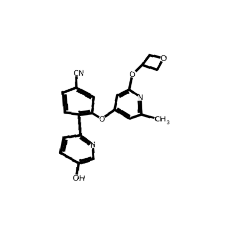 Cc1cc(Oc2cc(C#N)ccc2-c2ccc(O)cn2)cc(OC2COC2)n1